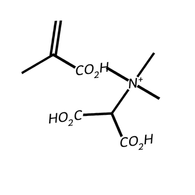 C=C(C)C(=O)O.C[N+](C)(C)C(C(=O)O)C(=O)O